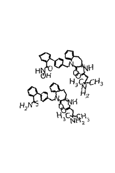 CC(C)(N)CC(=O)N[C@@H]1CCc2ccccc2N(Cc2ccc(-c3ccccc3C(=O)NO)cc2)C1=O.CC(C)(N)CC(=O)N[C@@H]1CCc2ccccc2N(Cc2ccc(-c3ccccc3C(N)=S)cc2)C1=O